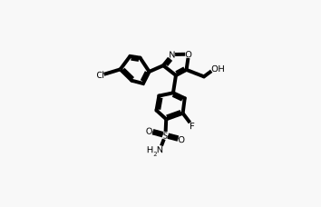 NS(=O)(=O)c1ccc(-c2c(-c3ccc(Cl)cc3)noc2CO)cc1F